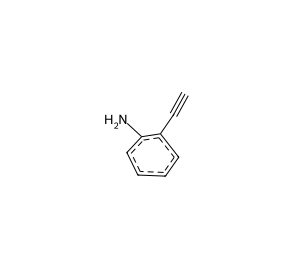 C#Cc1ccccc1N